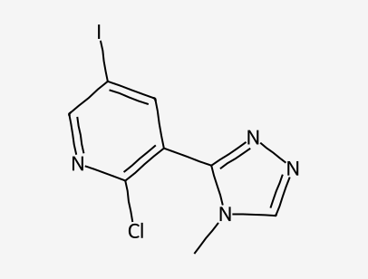 Cn1cnnc1-c1cc(I)cnc1Cl